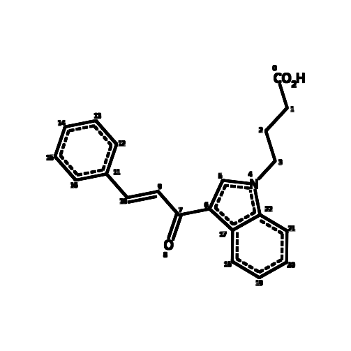 O=C(O)CCCn1cc(C(=O)C=Cc2ccccc2)c2ccccc21